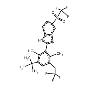 Cc1c(SC(F)(F)F)cc(C(C)(C)C)c(O)c1-c1nc2cc(S(=O)(=O)C(F)(F)F)ccc2[nH]1